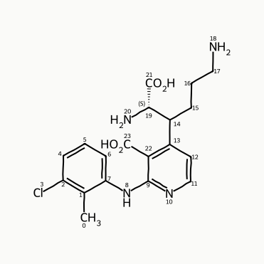 Cc1c(Cl)cccc1Nc1nccc(C(CCCN)[C@H](N)C(=O)O)c1C(=O)O